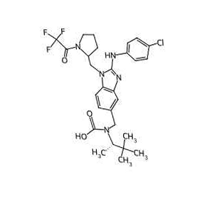 C[C@H](N(Cc1ccc2c(c1)nc(Nc1ccc(Cl)cc1)n2CC1CCCN1C(=O)C(F)(F)F)C(=O)O)C(C)(C)C